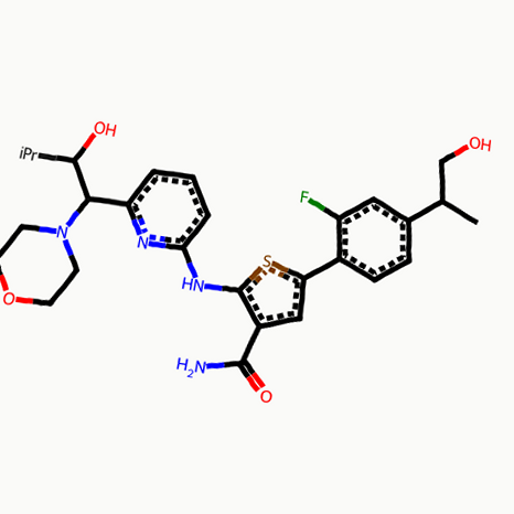 CC(CO)c1ccc(-c2cc(C(N)=O)c(Nc3cccc(C(C(O)C(C)C)N4CCOCC4)n3)s2)c(F)c1